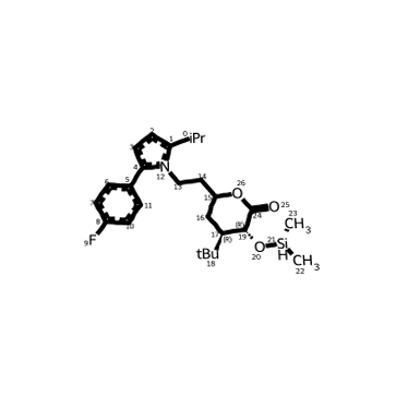 CC(C)c1ccc(-c2ccc(F)cc2)n1CCC1C[C@H](C(C)(C)C)[C@@H](O[SiH](C)C)C(=O)O1